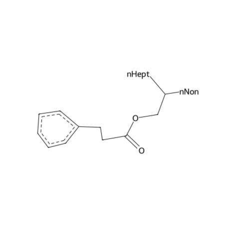 CCCCCCCCCC(CCCCCCC)COC(=O)CCc1ccccc1